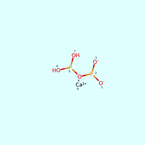 [Ca+2].[O-]P([O-])OP(O)O